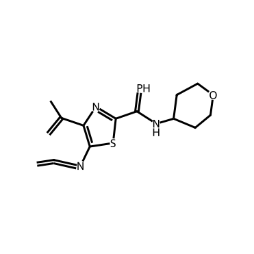 C=C=Nc1sc(C(=P)NC2CCOCC2)nc1C(=C)C